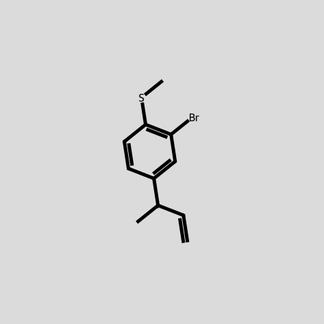 C=C[C](C)c1ccc(SC)c(Br)c1